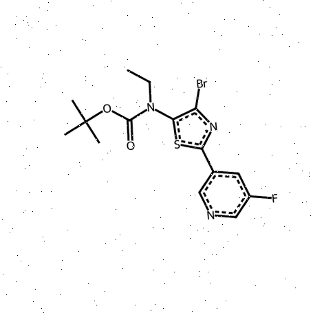 CCN(C(=O)OC(C)(C)C)c1sc(-c2cncc(F)c2)nc1Br